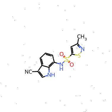 Cc1cc(S(=O)(=O)Nc2cccc3c(C#N)c[nH]c23)sn1